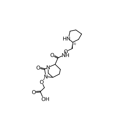 O=C(O)CON1C(=O)N2CC1CCC2C(=O)NOC[C@@H]1CCCCN1